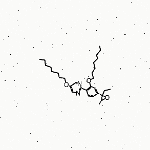 CCCCCCCCOc1cnc(-c2ccc(C3(CC)O[C@H]3C)cc2OCCCCCCCC)nc1